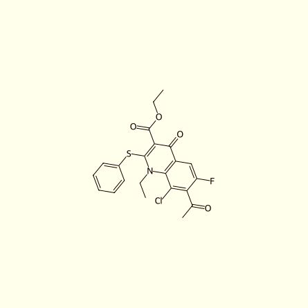 CCOC(=O)c1c(Sc2ccccc2)n(CC)c2c(Cl)c(C(C)=O)c(F)cc2c1=O